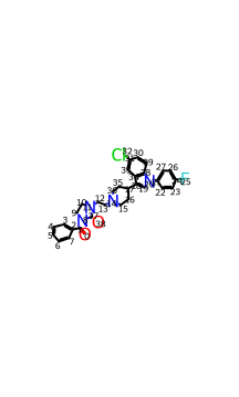 O=C(c1ccccc1)N1CCN(CCN2CCC(c3cn(-c4ccc(F)cc4)c4ccc(Cl)cc34)CC2)C1=O